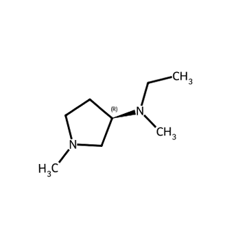 CCN(C)[C@@H]1CCN(C)C1